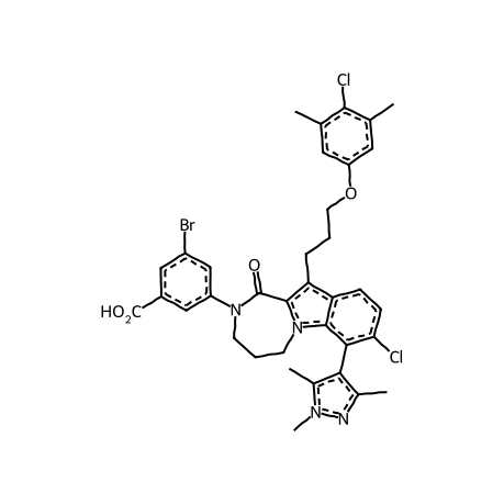 Cc1cc(OCCCc2c3n(c4c(-c5c(C)nn(C)c5C)c(Cl)ccc24)CCCN(c2cc(Br)cc(C(=O)O)c2)C3=O)cc(C)c1Cl